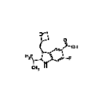 CC(C)C1Nc2cc(F)c(C(=O)O)cc2N1C[C@@H]1CCO1